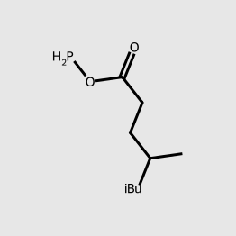 CCC(C)C(C)CCC(=O)OP